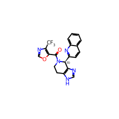 O=C(c1ocnc1C(F)(F)F)N1CCc2[nH]cnc2[C@@H]1c1ccc2ccccc2n1